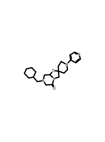 O=C1CN(CC2CCCCC2)CC2OC3(CCN(c4ccncc4)CC3)CN12